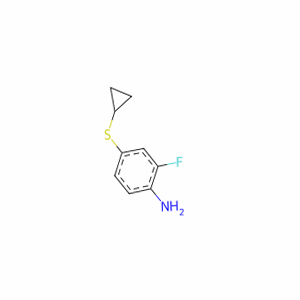 Nc1ccc(SC2CC2)cc1F